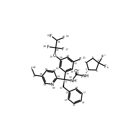 O=C(N[C@@H]1CCC(F)(F)C1)N[C@@](Cc1ccccc1)(c1cc(F)cc(OC(F)(F)C(F)F)c1)c1ccc(CI)cn1